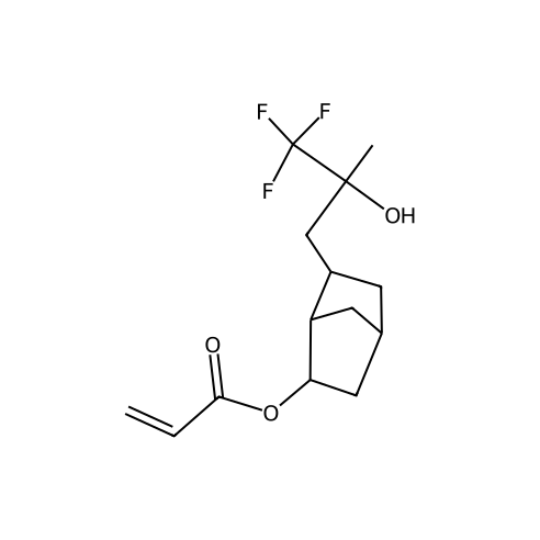 C=CC(=O)OC1CC2CC(CC(C)(O)C(F)(F)F)C1C2